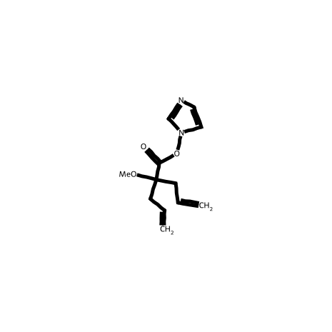 C=CCC(CC=C)(OC)C(=O)On1ccnc1